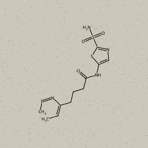 C/C=C(CCCC(=O)Nc1cnc(S(N)(=O)=O)s1)\N=N/C